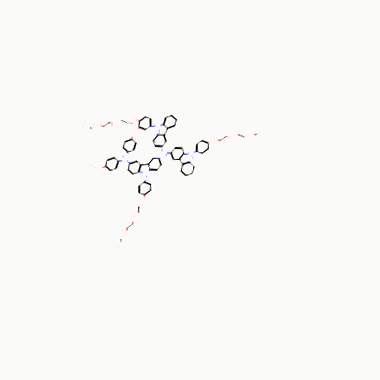 CCOCCOCCOc1ccc(-n2c3c(c4cc(N(c5ccc6c(c5)c5ccccc5n6-c5ccc(OCCOCCOCC)cc5)c5ccc6c(c5)c5cc(N(c7ccc(OC)cc7)c7ccc(OC)cc7)ccc5n6-c5ccc(OCCOCCOCC)cc5)ccc42)C=CCC3)cc1